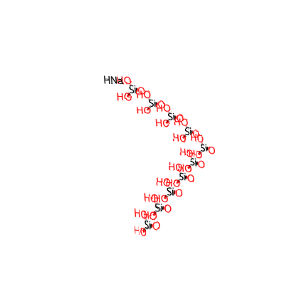 O=[Si](O)O.O=[Si](O)O.O=[Si](O)O.O=[Si](O)O.O=[Si](O)O.O=[Si](O)O.O=[Si](O)O.O=[Si](O)O.O=[Si](O)O.O=[Si](O)O.[NaH]